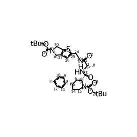 C[C@H](NC(=O)[C@H]1C[C@@H](c2ccccc2)CCN1C(=O)OC(C)(C)C)C(=O)NCc1cc2c(s1)CN(C(=O)OC(C)(C)C)C2